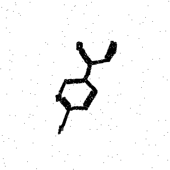 C=CC(=O)c1ccc(F)nc1